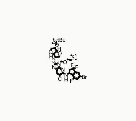 CC(C)(C)[Si](C)(C)O[C@@H]1CO[C@H]2[C@@H]1OC[C@H]2Oc1nc2cc(Cl)c(NC3CC(F)(F)c4cc(Br)cc(F)c43)nc2n1COCC[Si](C)(C)C